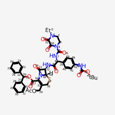 CCN1CCN(C(=O)N[C@H](C(=O)N[C@@H]2C(=O)N3C(C(=O)OC(c4ccccc4)c4ccccc4)=C(COC(C)=O)CS[C@@H]23)c2ccc(NC(=O)OC(C)(C)C)cc2)C(=O)C1=O